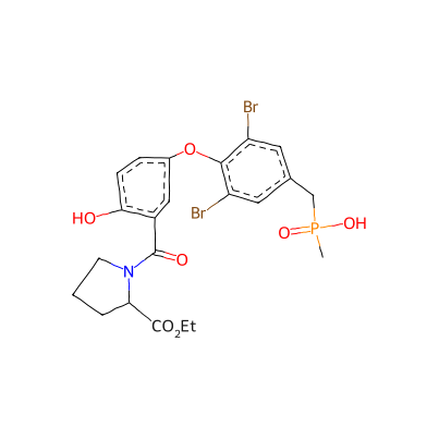 CCOC(=O)C1CCCN1C(=O)c1cc(Oc2c(Br)cc(CP(C)(=O)O)cc2Br)ccc1O